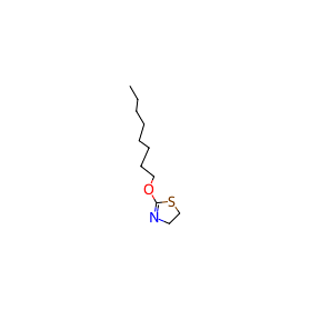 CCCCCCCCOC1=NCCS1